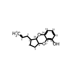 C=CCC1CCC2Oc3c(O)cccc3OC12